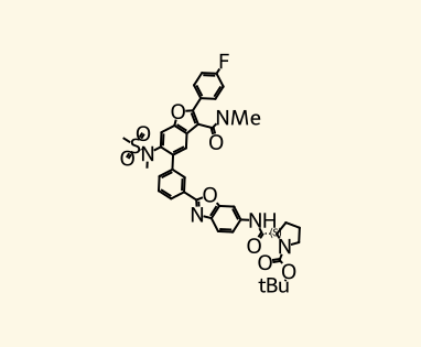 CNC(=O)c1c(-c2ccc(F)cc2)oc2cc(N(C)S(C)(=O)=O)c(-c3cccc(-c4nc5ccc(NC(=O)[C@@H]6CCCN6C(=O)OC(C)(C)C)cc5o4)c3)cc12